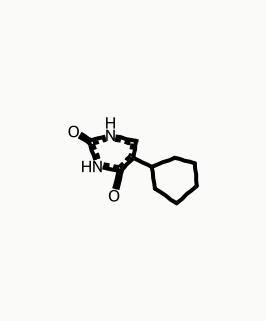 O=c1[nH]cc(C2CCCCC2)c(=O)[nH]1